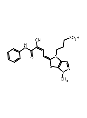 Cn1ncc2c1SC(=CC=C(C#N)C(=O)Nc1ccccc1)N2CCCS(=O)(=O)O